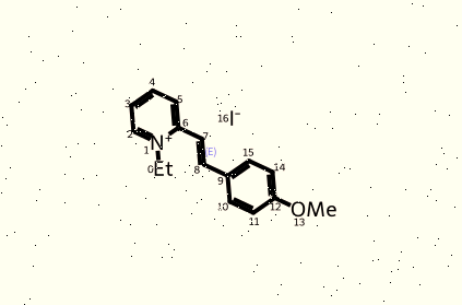 CC[n+]1ccccc1/C=C/c1ccc(OC)cc1.[I-]